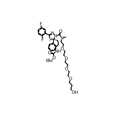 CN(CCOCCOCCOCCOCCCO)C(=O)N1N=C(c2cc(F)ccc2F)S[C@@]1(CCCNC(=O)OC(C)(C)C)c1ccccc1